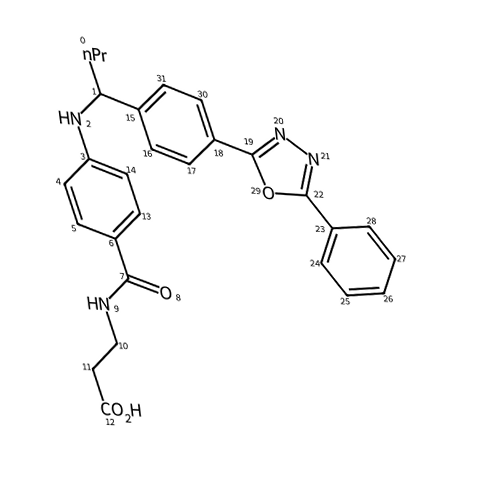 CCCC(Nc1ccc(C(=O)NCCC(=O)O)cc1)c1ccc(-c2nnc(-c3ccccc3)o2)cc1